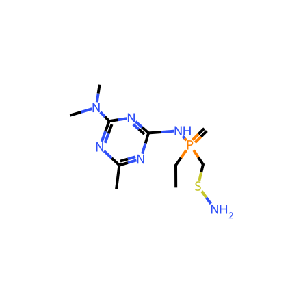 C=P(CC)(CSN)Nc1nc(C)nc(N(C)C)n1